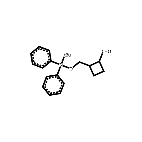 CC(C)(C)[Si](OCC1CCC1C=O)(c1ccccc1)c1ccccc1